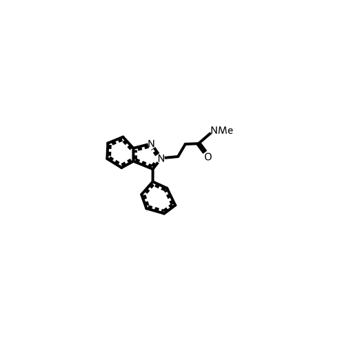 CNC(=O)CCn1nc2ccccc2c1-c1ccccc1